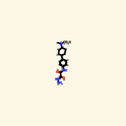 CN(C(=O)O)C1CCC(c2ccc(NC(=O)C(=O)NN)cc2)CC1